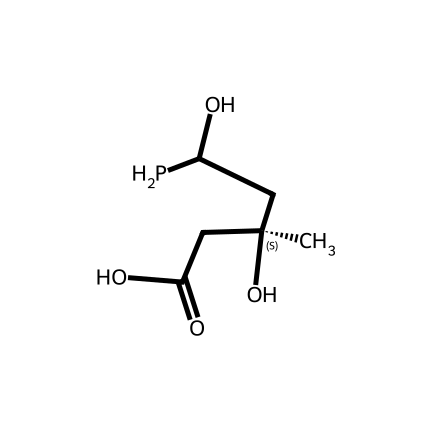 C[C@](O)(CC(=O)O)CC(O)P